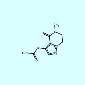 CN1CCn2ncc(OC(N)=O)c2C1=O